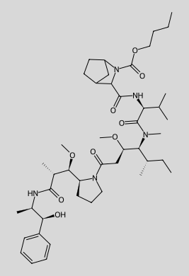 CCCCOC(=O)N1C2CCC(C2)C1C(=O)N[C@H](C(=O)N(C)[C@@H]([C@@H](C)CC)[C@@H](CC(=O)N1CCC[C@H]1[C@H](OC)[C@@H](C)C(=O)N[C@H](C)[C@@H](O)c1ccccc1)OC)C(C)C